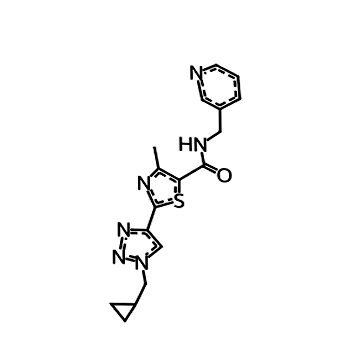 Cc1nc(-c2cn(CC3CC3)nn2)sc1C(=O)NCc1cccnc1